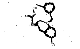 CC(C)(C)OC(=O)NC1Cc2cc(C#N)ccc2N(Cc2cccc(Cl)c2)C1